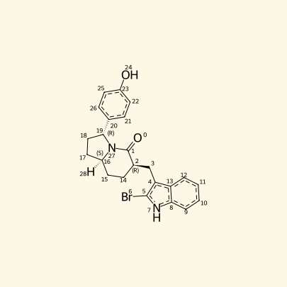 O=C1[C@@H](Cc2c(Br)[nH]c3ccccc23)CC[C@H]2CC[C@H](c3ccc(O)cc3)N12